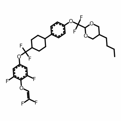 CCCCC1COC(C(F)(F)Oc2ccc(C3CCC(C(F)(F)Oc4cc(F)c(OC=C(F)F)c(F)c4)CC3)cc2)OC1